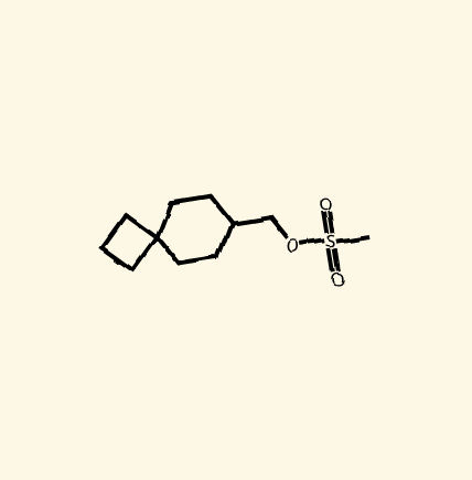 CS(=O)(=O)OCC1CCC2(CCC2)CC1